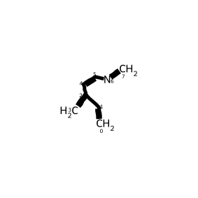 C=CC(=C)/C=C\N=C